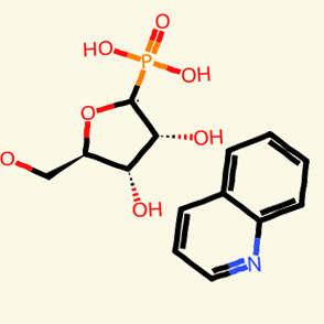 O=P(O)(O)[C]1O[C@H](CO)[C@@H](O)[C@H]1O.c1ccc2ncccc2c1